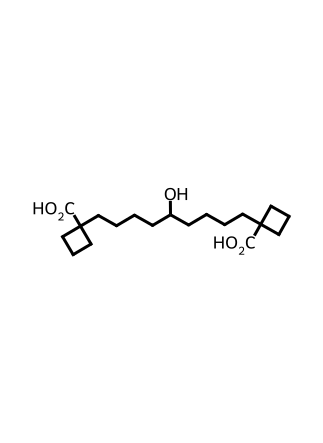 O=C(O)C1(CCCCC(O)CCCCC2(C(=O)O)CCC2)CCC1